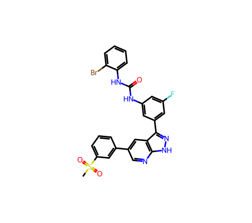 CS(=O)(=O)c1cccc(-c2cnc3[nH]nc(-c4cc(F)cc(NC(=O)Nc5ccccc5Br)c4)c3c2)c1